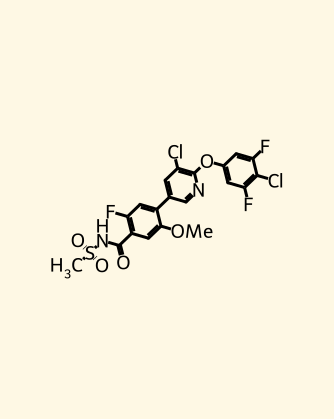 COc1cc(C(=O)NS(C)(=O)=O)c(F)cc1-c1cnc(Oc2cc(F)c(Cl)c(F)c2)c(Cl)c1